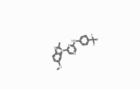 COc1ccc2nc(C)n(-c3cncc(Nc4ccc(C(F)(F)F)cc4)n3)c2c1